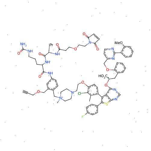 C#CCOCc1cc(NC(=O)C(CCCNC(N)=O)NC(=O)C(NC(=O)CCOCCN2C(=O)C=CC2=O)C(C)C)ccc1C[N+]1(C)CCN(CCOc2ccc(-c3c(-c4ccc(F)cc4)sc4ncnc(O[C@H](Cc5ccccc5OCc5ccnc(-c6ccccc6OC)n5)C(=O)O)c34)c(C)c2Cl)CC1